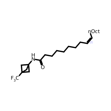 CCCCCCCC/C=C\CCCCCCCC(=O)NC12CC(C(F)(F)F)(C1)C2